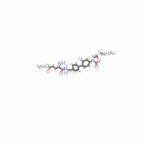 COC(=O)CC[C@H](N)C(=O)NCc1ccc(-c2ccc(N3C[C@H](CNC(C)=O)OC3=O)cc2F)cc1